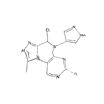 CCC1c2nnc(C)n2-c2cnc(Cl)nc2N1c1cn[nH]c1